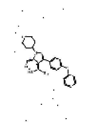 C/C=c1\c(=C(N)N)c(-c2ccc(OC3=C=C=CC=C3)cc2)nn1C1CCNCC1